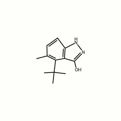 Cc1ccc2[nH]nc(O)c2c1C(C)(C)C